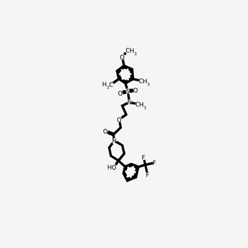 COc1cc(C)c(S(=O)(=O)N(C)CCOCC(=O)N2CCC(O)(c3cccc(C(F)(F)F)c3)CC2)c(C)c1